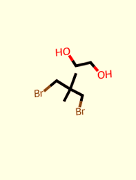 CC(C)(CBr)CBr.OCCO